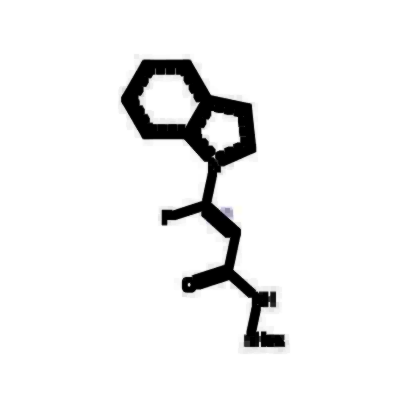 CCCCCCNC(=O)/C=C(\F)n1ccc2ccccc21